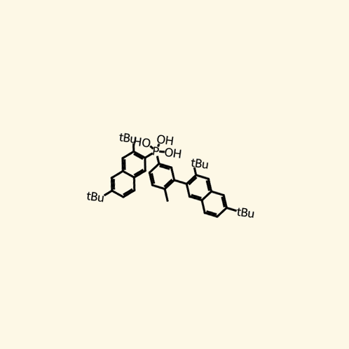 Cc1ccc(P(O)(O)(O)c2cc3ccc(C(C)(C)C)cc3cc2C(C)(C)C)cc1-c1cc2ccc(C(C)(C)C)cc2cc1C(C)(C)C